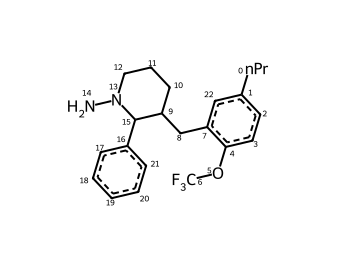 CCCc1ccc(OC(F)(F)F)c(CC2CCCN(N)C2c2ccccc2)c1